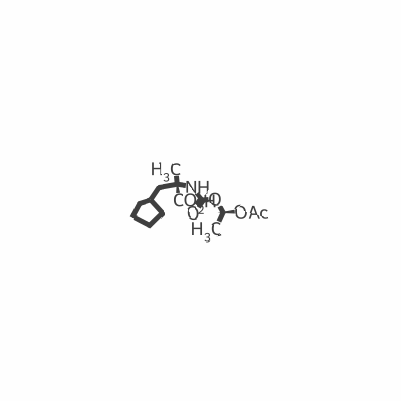 CC(=O)O[C@@H](C)OC(=O)N[C@@](C)(CC1CCCC1)C(=O)O